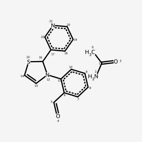 CC(N)=O.O=Cc1ccccc1N1C=CSC1c1cccnc1